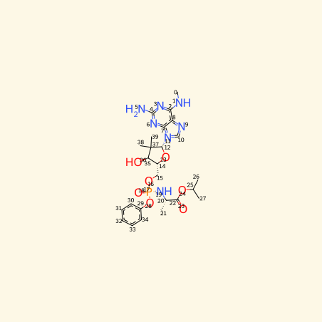 CNc1nc(N)nc2c1ncn2[C@@H]1O[C@H](CO[P@@](=O)(N[C@@H](C)C(=O)OC(C)C)Oc2ccccc2)[C@@H](O)C1(C)C